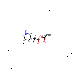 CC(C)(C)C(=O)OC(=O)C(C)(C)[C@H]1CCCNC1